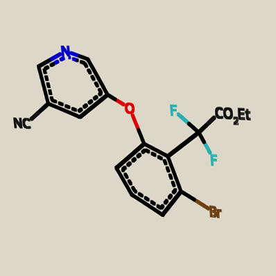 CCOC(=O)C(F)(F)c1c(Br)cccc1Oc1cncc(C#N)c1